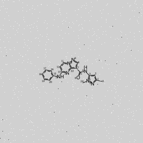 Cc1cc(NC(=O)c2cnn3ccc(Nc4ccccc4)nc23)n(C)n1